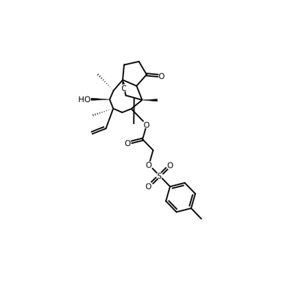 C=C[C@]1(C)CC(OC(=O)COS(=O)(=O)c2ccc(C)cc2)[C@]2(C)C(C)CC[C@]3(CCC(=O)C23)[C@@H](C)[C@@H]1O